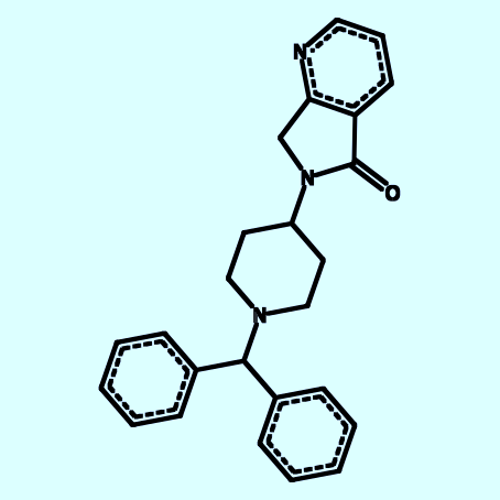 O=C1c2cccnc2CN1C1CCN(C(c2ccccc2)c2ccccc2)CC1